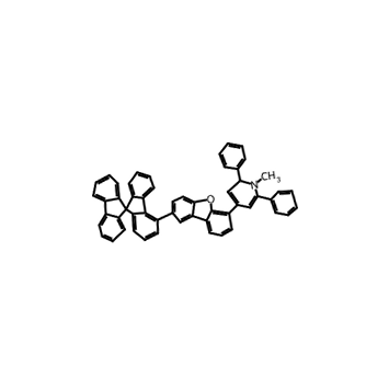 CN1C(c2ccccc2)=CC(c2cccc3c2oc2ccc(-c4cccc5c4-c4ccccc4C54c5ccccc5-c5ccccc54)cc23)=CC1c1ccccc1